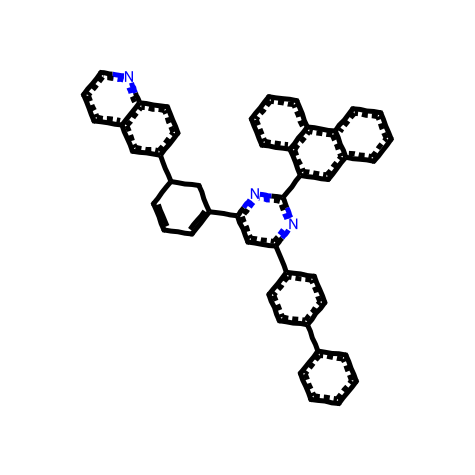 C1=CC(c2ccc3ncccc3c2)CC(c2cc(-c3ccc(-c4ccccc4)cc3)nc(-c3cc4ccccc4c4ccccc34)n2)=C1